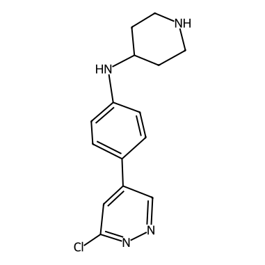 Clc1cc(-c2ccc(NC3CCNCC3)cc2)cnn1